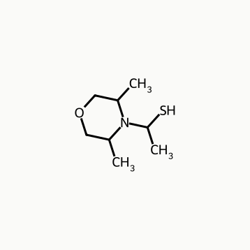 CC(S)N1C(C)COCC1C